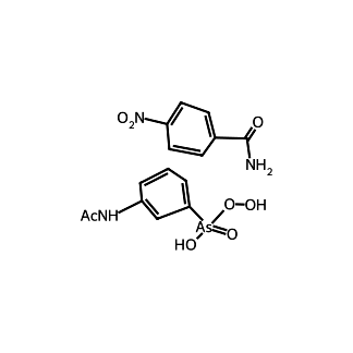 CC(=O)Nc1cccc([As](=O)(O)OO)c1.NC(=O)c1ccc([N+](=O)[O-])cc1